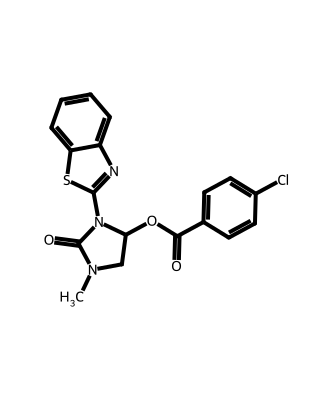 CN1CC(OC(=O)c2ccc(Cl)cc2)N(c2nc3ccccc3s2)C1=O